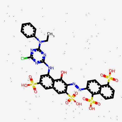 CCN(c1ccccc1)c1nc(Cl)nc(Nc2cc(S(=O)(=O)O)cc3cc(S(=O)(=O)O)c(N=Nc4ccc5c(S(=O)(=O)O)cccc5c4S(=O)(=O)O)c(O)c23)n1